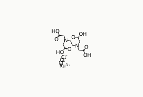 O=C(O)CN(CCN(CC(=O)O)CC(=O)O)CC(=O)O.[Cl-].[Cl-].[Cl-].[Ru+3]